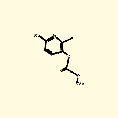 CSOC(=S)Oc1ccc(Br)nc1C